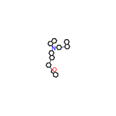 c1cc(-c2ccc3cc(N(c4ccc(-c5cccc6ccccc56)cc4)c4cccc5ccccc45)ccc3c2)cc(-c2cc3ccccc3o2)c1